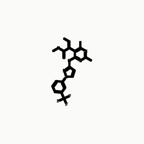 CC=C(C(=O)OC)c1c(C)nc(C)nc1Oc1ccn(-c2cccc(C(F)(F)F)c2)n1